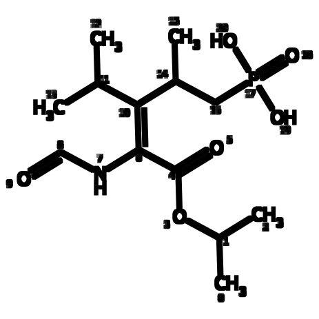 CC(C)OC(=O)C(NC=O)=C(C(C)C)C(C)CP(=O)(O)O